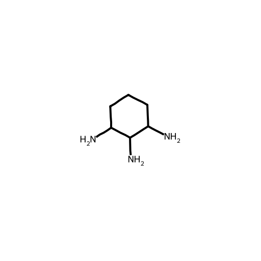 NC1CCCC(N)C1N